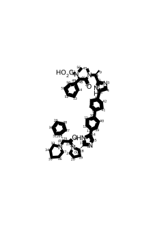 C[C@@H](c1ncc(-c2ccc(-c3ccc(-c4cnc([C@@H]5CCCN5C(=O)[C@@H](c5ccccc5)N5CCCCC5)[nH]4)cc3)cc2)[nH]1)N(C)C(=O)[C@@H](c1ccccc1)N(C)C(=O)O